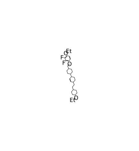 CCOc1ccc(OCC2CCC(C3C=CC(CCC4CCC(OCC)CC4)CC3)CC2)c(F)c1F